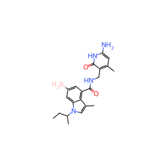 Bc1cc(C(=O)NCc2c(C)cc(N)[nH]c2=O)c2c(C)cn(C(C)CC)c2c1